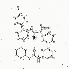 O=C(CC1CCCCC1)Nc1cncc(-c2cnc3[nH]nc(-c4nc5c(-c6ccc(F)cc6)nccc5[nH]4)c3c2)c1